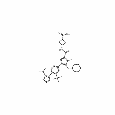 Cc1c(C(=O)N[C@H]2C[C@H](C(=O)O)C2)cc(-c2ccc(-c3ccnn3C(C)C)c(C(C)(C)C)c2)n1CC1CCCCC1